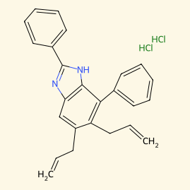 C=CCc1cc2nc(-c3ccccc3)[nH]c2c(-c2ccccc2)c1CC=C.Cl.Cl